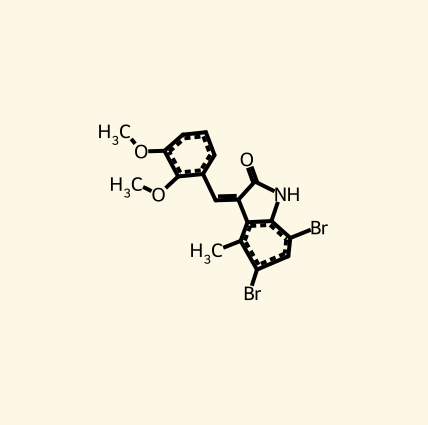 COc1cccc(C=C2C(=O)Nc3c(Br)cc(Br)c(C)c32)c1OC